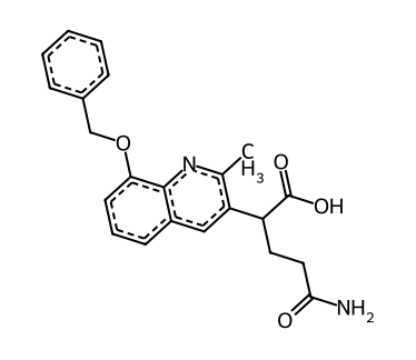 Cc1nc2c(OCc3ccccc3)cccc2cc1C(CCC(N)=O)C(=O)O